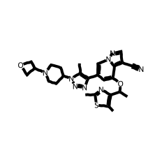 Cc1nc(C(C)Oc2cc(-c3nnn(C4CCN(C5COC5)CC4)c3C)cn3ncc(C#N)c23)c(C)s1